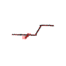 CCCCCCCCCCCCCCCCCCCCCCCCC(C(=O)OCC(O)CO)C(O)CCCCCCCCCCCC1CC1CCCCCCCCCCCCCCC1CC1CCCCCCCCCCCCCCCCCCCC